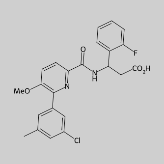 COc1ccc(C(=O)NC(CC(=O)O)c2ccccc2F)nc1-c1cc(C)cc(Cl)c1